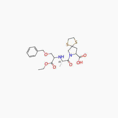 CCOC(=O)C(COCc1ccccc1)N[C@@H](C)C(=O)N1CC2(CC1C(=O)O)SCCS2